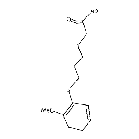 COC1=C(SCCCCCC(=O)N=O)C=CCC1